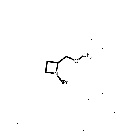 CC(C)N1CCC1COC(F)(F)F